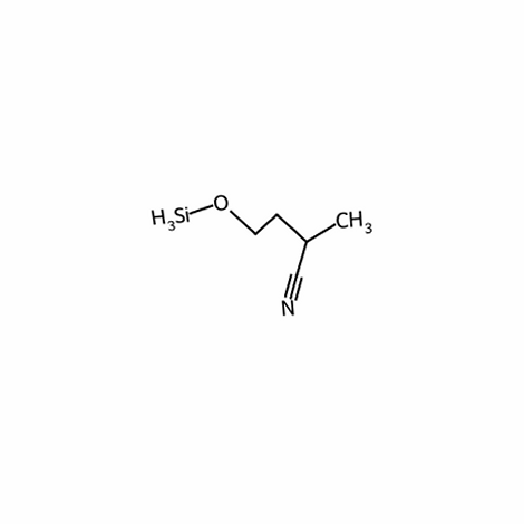 CC(C#N)CCO[SiH3]